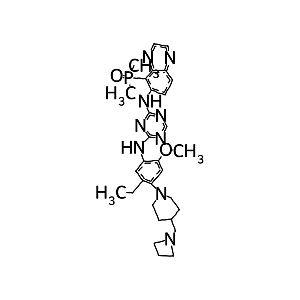 CCc1cc(Nc2ncnc(Nc3ccc4nccnc4c3P(C)(C)=O)n2)c(OC)cc1N1CCC(CN2CCC2)CC1